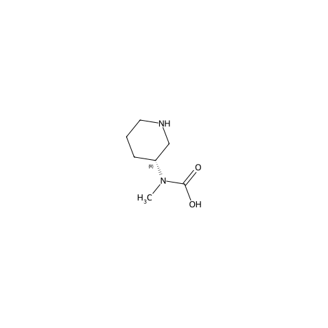 CN(C(=O)O)[C@@H]1CCCNC1